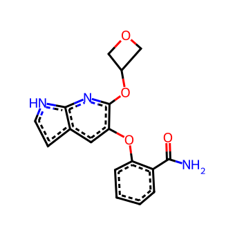 NC(=O)c1ccccc1Oc1cc2cc[nH]c2nc1OC1COC1